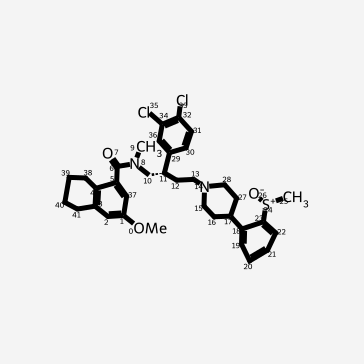 COc1cc2c(c(C(=O)N(C)C[C@@H](CCN3CCC(c4ccccc4[S+](C)[O-])CC3)c3ccc(Cl)c(Cl)c3)c1)CCCC2